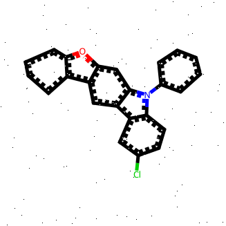 Clc1ccc2c(c1)c1cc3c(cc1n2-c1ccccc1)oc1ccccc13